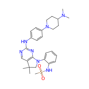 CN(C)C1CCN(c2ccc(Nc3ncc4c(n3)N(c3ccccc3NS(C)(=O)=O)CC4(C)C)cc2)CC1